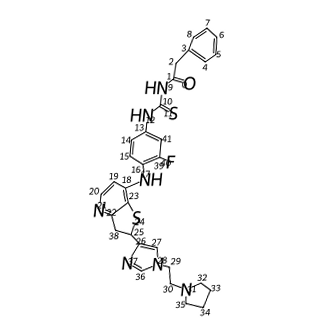 O=C(Cc1ccccc1)NC(=S)Nc1ccc(Nc2ccnc3c2SC(c2cn(CCN4CCCC4)cn2)C3)c(F)c1